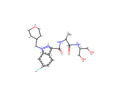 CC(C)(C)C(NC(=O)c1nn(CC2CCOCC2)c2cc(F)ccc12)C(=O)NC(CO)CO